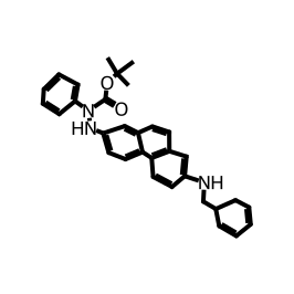 CC(C)(C)OC(=O)N(Nc1ccc2c(ccc3cc(NCC4C=CC=CC4)ccc32)c1)c1ccccc1